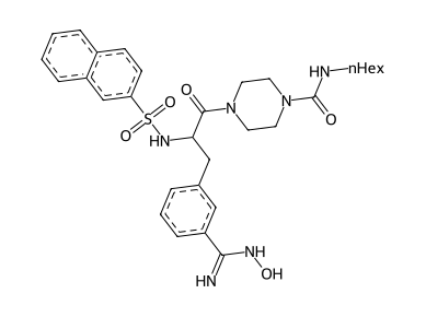 CCCCCCNC(=O)N1CCN(C(=O)C(Cc2cccc(C(=N)NO)c2)NS(=O)(=O)c2ccc3ccccc3c2)CC1